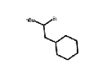 CCCCC(CC)CC1CCCCC1